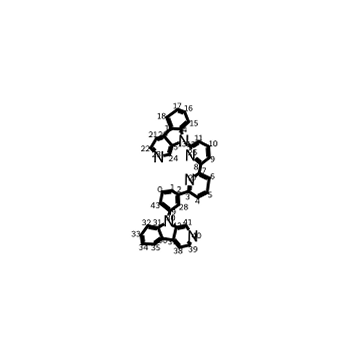 c1cc(-c2cccc(-c3cccc(-n4c5ccccc5c5ccncc54)n3)n2)cc(-n2c3ccccc3c3ccncc32)c1